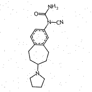 N#CN(C(N)=O)c1ccc2c(c1)CCC(N1CCCC1)CC2